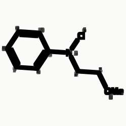 COCCN(Cl)c1ccccc1